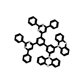 c1ccc(-c2cc(-c3cc(-c4cc(N5c6ccccc6Oc6ccccc65)cc(N5c6ccccc6Sc6ccccc65)c4)cc(-c4cc(-c5ccccc5)nc(-c5ccccc5)n4)c3)nc(-c3ccccc3)n2)cc1